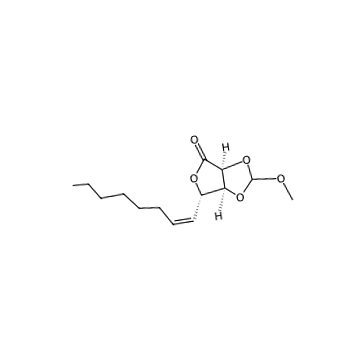 CCCCCC/C=C\[C@@H]1OC(=O)[C@H]2OC(OC)O[C@@H]12